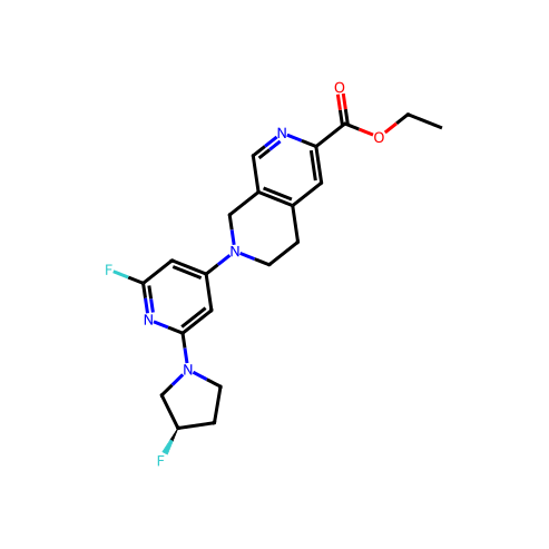 CCOC(=O)c1cc2c(cn1)CN(c1cc(F)nc(N3CC[C@@H](F)C3)c1)CC2